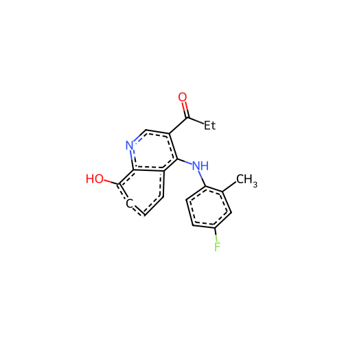 CCC(=O)c1cnc2c(O)cccc2c1Nc1ccc(F)cc1C